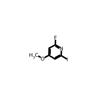 COc1cc(F)nc(I)c1